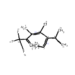 C=C(/C(C)=C(Cl)\C(=C/C)C(C)C)C(F)(F)F